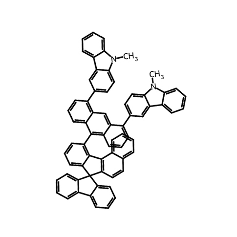 Cn1c2ccccc2c2cc(-c3cccc4c(-c5cccc6c5-c5c(ccc7ccccc57)C65c6ccccc6-c6ccccc65)c5cccc(-c6ccc7c(c6)c6ccccc6n7C)c5cc34)ccc21